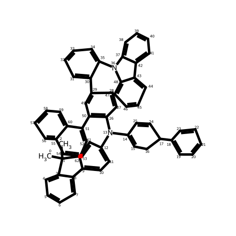 CC1(C)c2ccccc2-c2ccc(N(C3=CCC(c4ccccc4)C=C3)c3ccc(-c4ccccc4-n4c5ccccc5c5ccccc54)cc3-c3cccc4ccccc34)cc21